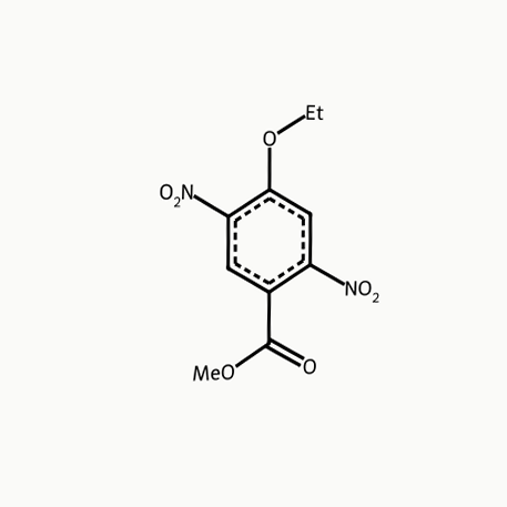 CCOc1cc([N+](=O)[O-])c(C(=O)OC)cc1[N+](=O)[O-]